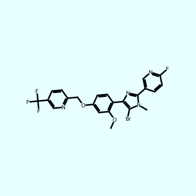 COc1cc(OCc2ccc(C(F)(F)F)cn2)ccc1-c1nc(-c2ccc(F)nc2)n(C)c1Br